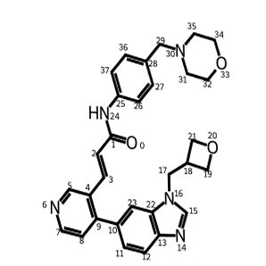 O=C(/C=C/c1cnccc1-c1ccc2ncn(CC3COC3)c2c1)Nc1ccc(CN2CCOCC2)cc1